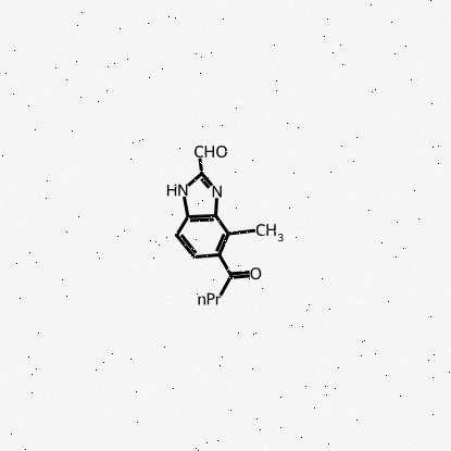 CCCC(=O)c1ccc2[nH]c(C=O)nc2c1C